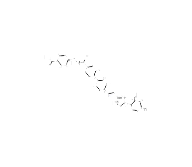 O=C(O)c1ccc(CNC(=O)c2ccc(-c3ccc(/C=C/c4nc(-c5ccc(Cl)cc5Cl)c[nH]4)cc3)cc2)cc1